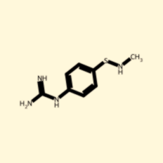 CNSc1ccc(NC(=N)N)cc1